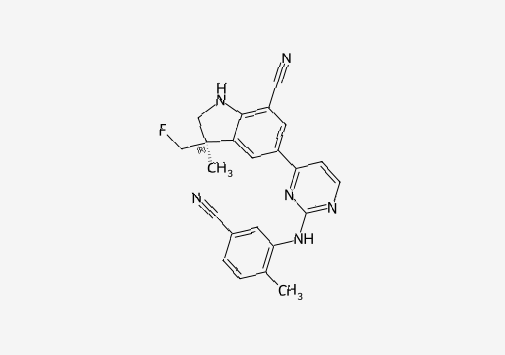 Cc1ccc(C#N)cc1Nc1nccc(-c2cc(C#N)c3c(c2)[C@@](C)(CF)CN3)n1